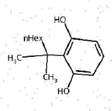 CCCCCCC(C)(C)c1c(O)cccc1O